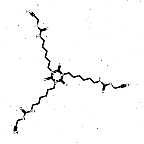 C#CCOC(=O)NCCCCCCn1c(=O)n(CCCCCCNC(=O)OCC#C)c(=O)n(CCCCCCNC(=O)OCC#C)c1=O